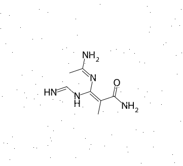 C/C(C(N)=O)=C(/N=C(\C)N)NC=N